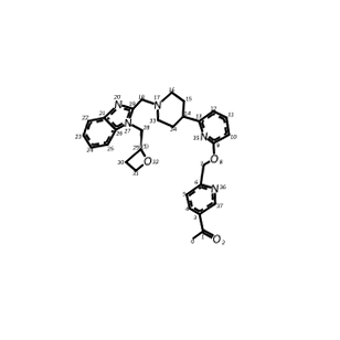 CC(=O)c1ccc(COc2cccc(C3CCN(Cc4nc5ccccc5n4C[C@@H]4CCO4)CC3)n2)nc1